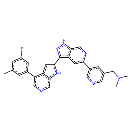 Cc1cc(F)cc(-c2cncc3[nH]c(-c4n[nH]c5cnc(-c6cncc(CN(C)C)c6)cc45)cc23)c1